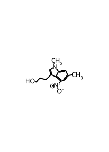 Cc1cc([N+](=O)[O-])c2c(CCCO)cn(C)c2c1